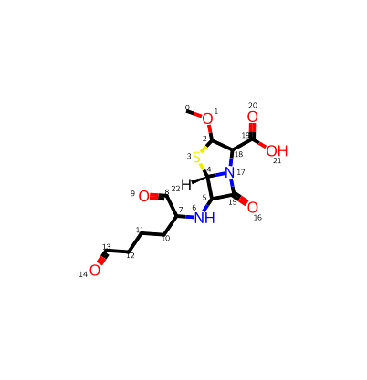 COC1S[C@H]2C(NC(C=O)CCCC=O)C(=O)N2C1C(=O)O